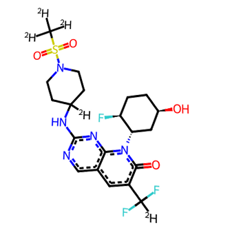 [2H]C1(Nc2ncc3cc(C([2H])(F)F)c(=O)n([C@H]4C[C@H](O)CC[C@@H]4F)c3n2)CCN(S(=O)(=O)C([2H])([2H])[2H])CC1